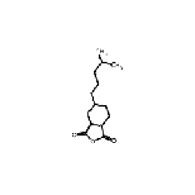 CC(C)CCCC1CCC2C(=O)OC(=O)C2C1